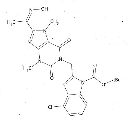 C/C(=N/O)c1nc2c(c(=O)n(Cc3cc4c(Cl)cccc4n3C(=O)OC(C)(C)C)c(=O)n2C)n1C